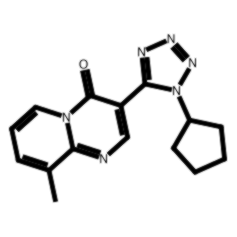 Cc1cccn2c(=O)c(-c3nnnn3C3CCCC3)cnc12